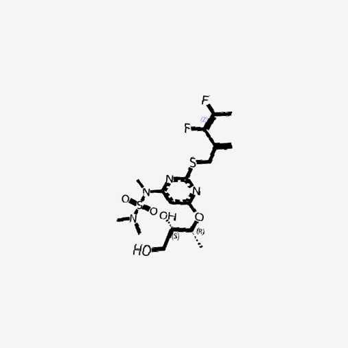 C=C(CSc1nc(O[C@H](C)[C@@H](O)CO)cc(N(C)S(=O)(=O)N(C)C)n1)/C(F)=C(\C)F